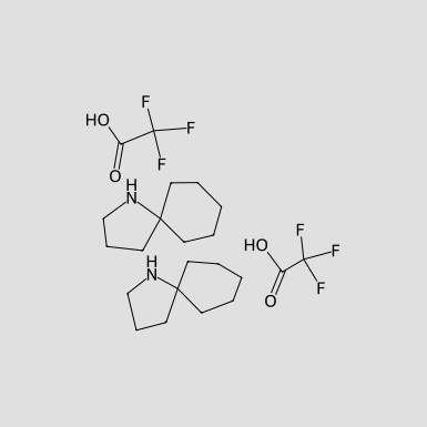 C1CCC2(CC1)CCCN2.C1CCC2(CC1)CCCN2.O=C(O)C(F)(F)F.O=C(O)C(F)(F)F